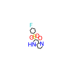 O=c1c(S(=O)(=O)c2ccc(F)cc2)c[nH]c2cccnc12